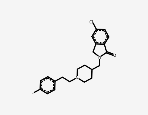 O=C1c2ccc(Cl)cc2CN1CC1CCN(CCc2ccc(F)cc2)CC1